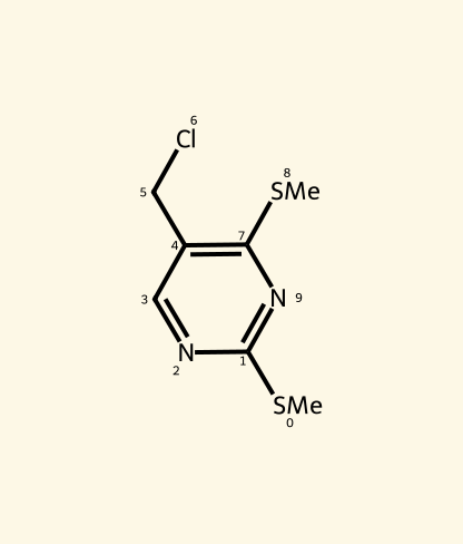 CSc1ncc(CCl)c(SC)n1